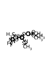 Cc1cnc(-c2cc(OC3CCN(C(=O)OC(C)(C)C)CC3)cc(C(=O)NC(C)c3cnc(C(F)F)nc3)c2)s1